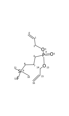 C=CCOP(=O)(CCC[Si](C)(C)F)OCC=C